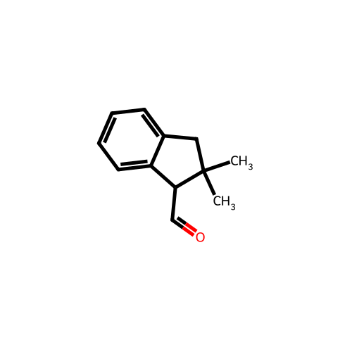 CC1(C)Cc2ccccc2C1C=O